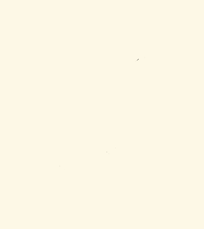 CC(C)(C)[C@H]1CC[C@H](Oc2ccc3cc(C(=O)N4CCC(OC(=O)O)CC4)ccc3c2)CC1